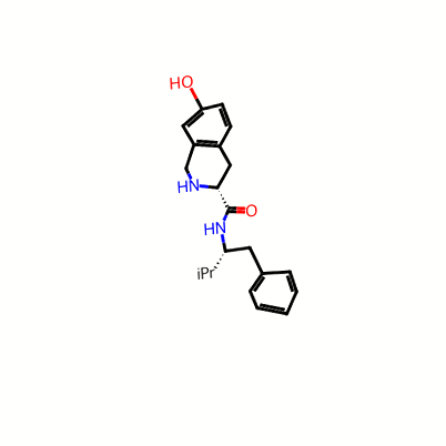 CC(C)[C@@H](Cc1ccccc1)NC(=O)[C@H]1Cc2ccc(O)cc2CN1